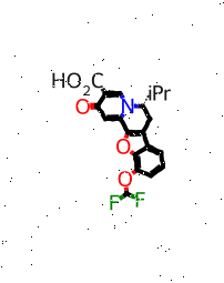 CC(C)[C@@H]1Cc2c(oc3c(OC(F)F)cccc23)-c2cc(=O)c(C(=O)O)cn21